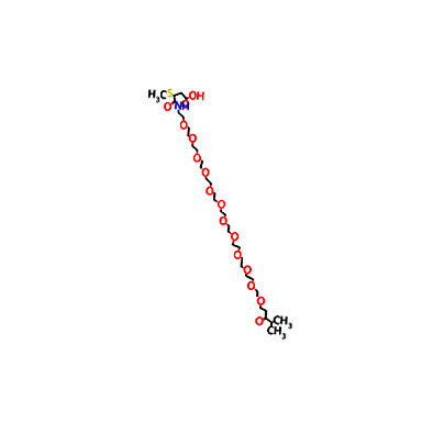 CSC(CC(=O)O)C(=O)NCCOCCOCCOCCOCCOCCOCCOCCOCCOCCOCCOCCOCCC(=O)C(C)C